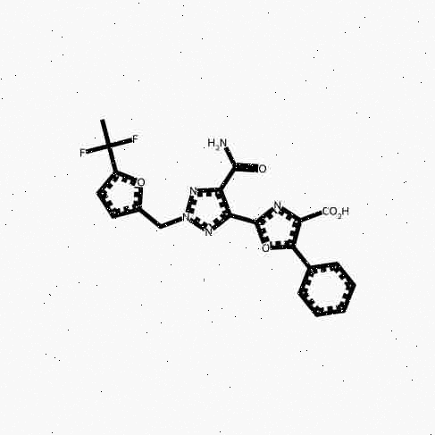 CC(F)(F)c1ccc(Cn2nc(C(N)=O)c(-c3nc(C(=O)O)c(-c4ccccc4)o3)n2)o1